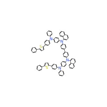 c1ccc(-c2ccc(-c3ccc(N(c4ccccc4)c4ccc(N(c5ccc(-c6ccc(N(c7ccc(N(c8ccccc8)c8ccc(-c9ccc(-c%10ccccc%10)s9)cc8)cc7)c7cccc8ccccc78)cc6)cc5)c5cccc6ccccc56)cc4)cc3)s2)cc1